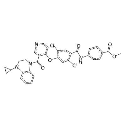 COC(=O)c1ccc(NC(=O)c2cc(Cl)c(Oc3ccncc3C(=O)N3CCN(C4CC4)c4ccccc43)cc2Cl)cc1